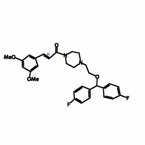 COc1cc(/C=C/C(=O)N2CCN(CCOC(c3ccc(F)cc3)c3ccc(F)cc3)CC2)cc(OC)c1